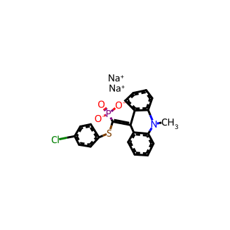 CN1c2ccccc2C(=C(Sc2ccc(Cl)cc2)P(=O)([O-])[O-])c2ccccc21.[Na+].[Na+]